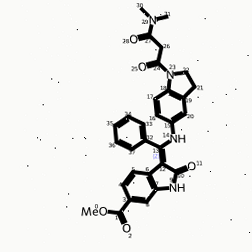 COC(=O)c1ccc2c(c1)NC(=O)/C2=C(\Nc1ccc2c(c1)CCN2C(=O)CC(=O)N(C)C)c1ccccc1